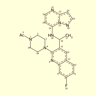 CC(=O)N1CCN(c2nc3cc(F)ccc3cc2C(C)Nc2ccnc3ccnn23)CC1